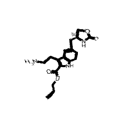 C=CCOC(=O)c1[nH]c2ccc(C[C@H]3COC(=O)N3)cc2c1CCN